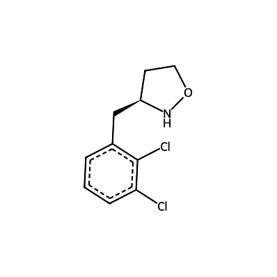 Clc1cccc(C[C@H]2CCON2)c1Cl